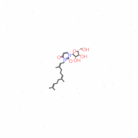 CC(C)=CCCC(C)=CCCC(C)=CCn1c(=O)ccn([C@@H]2O[C@H](CO)[C@@H](O)[C@H]2O)c1=O